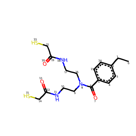 CCc1ccc(C(=O)N(CCNC(=O)CS)CCNC(=O)CS)cc1